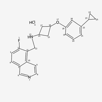 Cl.Fc1ccc2cnccc2c1CNC1CC(Oc2cccc(C3CC3)c2)C1